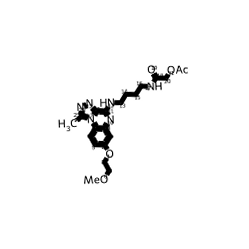 COCCOc1ccc2c(c1)nc(NCCCCNC(=O)COC(C)=O)c1nnc(C)n12